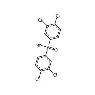 O=P(Br)(c1ccc(Cl)c(Cl)c1)c1ccc(Cl)c(Cl)c1